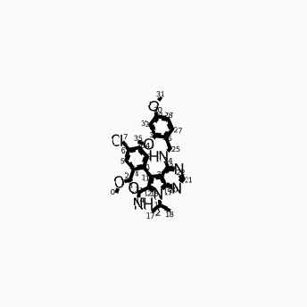 COC(=O)c1cc(Cl)ccc1-c1c(CN)n(C(C)C)c2ncnc(NCc3ccc(OC)cc3OC)c12